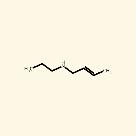 CC=CCNCCC